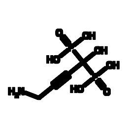 NCC#CC(O)(P(=O)(O)O)P(=O)(O)O